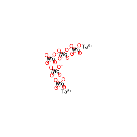 [O]=[Mo](=[O])([O-])[O-].[O]=[Mo](=[O])([O-])[O-].[O]=[Mo](=[O])([O-])[O-].[O]=[Mo](=[O])([O-])[O-].[O]=[Mo](=[O])([O-])[O-].[Ta+5].[Ta+5]